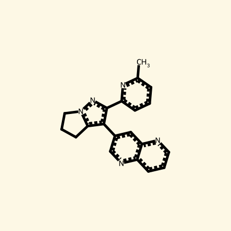 Cc1cccc(-c2nn3c(c2-c2cnc4cccnc4c2)CCC3)n1